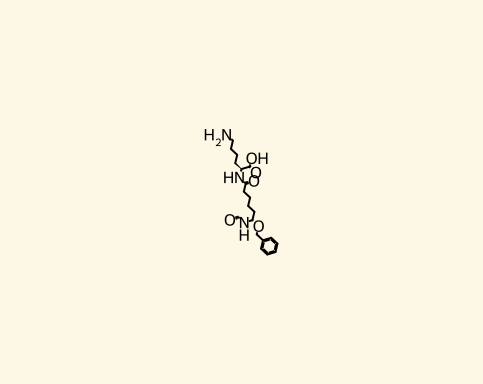 NCCCC[C@H](NC(=O)CCCCC(NC=O)OCc1ccccc1)C(=O)O